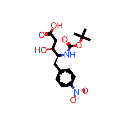 CC(C)(C)OC(=O)N[C@@H](Cc1ccc([N+](=O)[O-])cc1)[C@@H](O)CC(=O)O